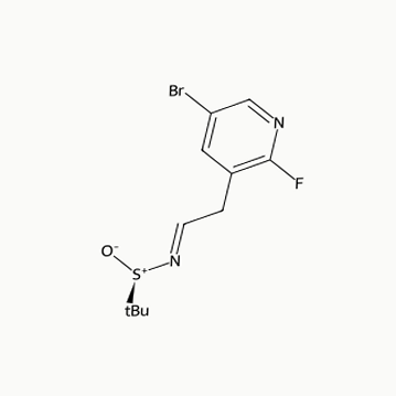 CC(C)(C)[S@@+]([O-])/N=C/Cc1cc(Br)cnc1F